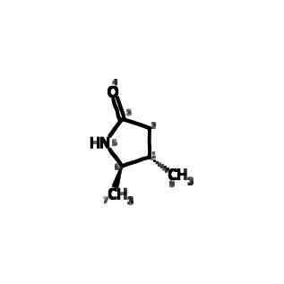 C[C@H]1CC(=O)N[C@@H]1C